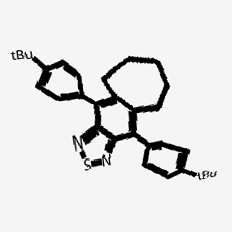 CC(C)(C)c1ccc(-c2c3c(c(-c4ccc(C(C)(C)C)cc4)c4nsnc24)CCCCC3)cc1